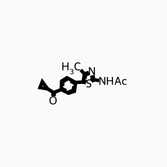 CC(=O)Nc1nc(C)c(-c2ccc(C(=O)C3CC3)cc2)s1